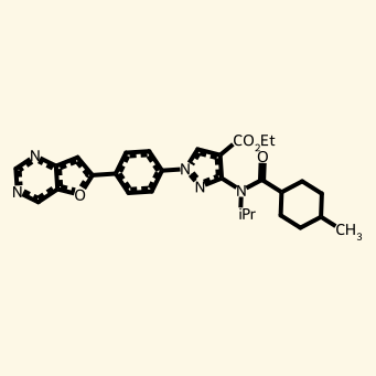 CCOC(=O)c1cn(-c2ccc(-c3cc4ncncc4o3)cc2)nc1N(C(=O)C1CCC(C)CC1)C(C)C